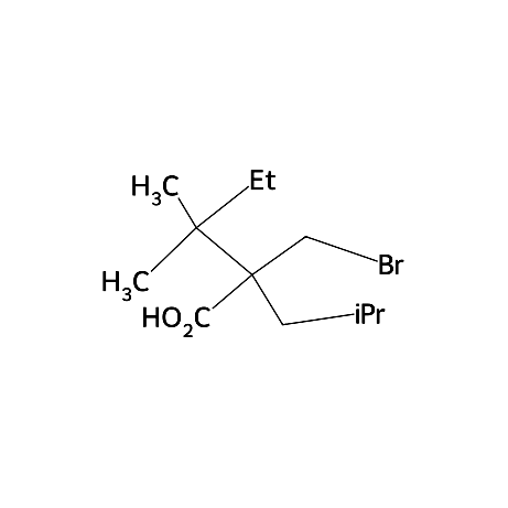 CCC(C)(C)C(CBr)(CC(C)C)C(=O)O